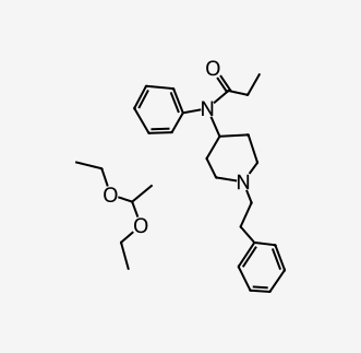 CCC(=O)N(c1ccccc1)C1CCN(CCc2ccccc2)CC1.CCOC(C)OCC